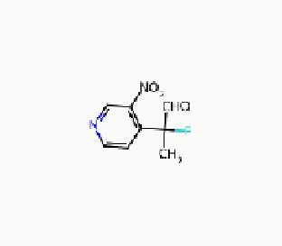 CC(F)(C=O)c1ccncc1[N+](=O)[O-]